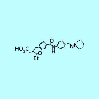 CCC1Oc2cc(C(=O)Nc3ccc(C=NN4CCCCC4)cc3)ccc2CC1CC(=O)O